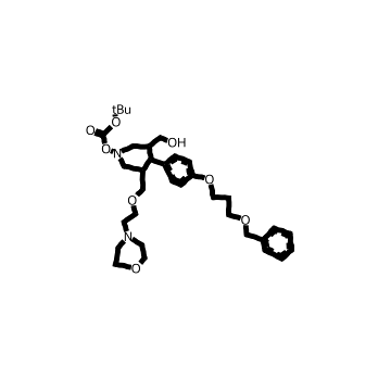 CC(C)(C)OC(=O)ON1CC(CO)C(c2ccc(OCCCOCc3ccccc3)cc2)C(COCCN2CCOCC2)C1